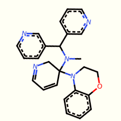 CN(C(c1cccnc1)c1cccnc1)C1(N2CCOc3ccccc32)C=CC=NC1